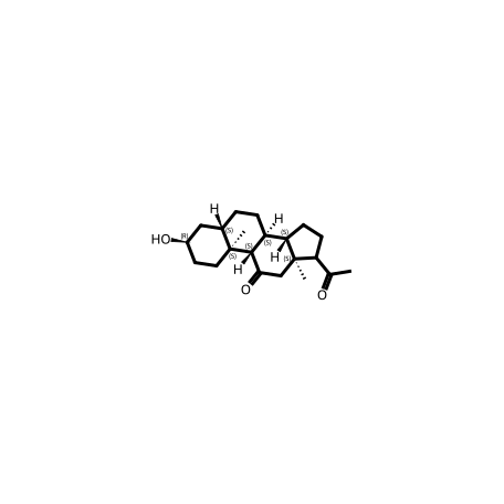 CC(=O)C1CC[C@H]2[C@@H]3CC[C@H]4C[C@H](O)CC[C@]4(C)[C@H]3C(=O)C[C@]12C